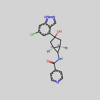 O=C(NC1[C@H]2CC(O)(c3cc(Cl)cc4[nH]ncc34)C[C@@H]12)c1ccncc1